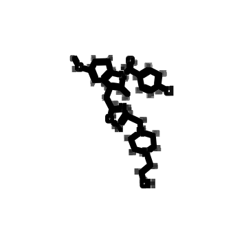 COc1ccc2c(c1)c(Cc1nc(CN3CCN(CCO)CC3)no1)c(C)n2C(=O)c1ccc(Cl)cc1